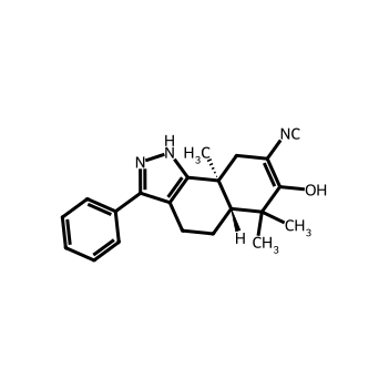 [C-]#[N+]C1=C(O)C(C)(C)[C@@H]2CCc3c(-c4ccccc4)n[nH]c3[C@@]2(C)C1